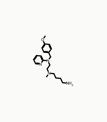 COc1ccc(CN(CCN(C)CCCCN)c2ccccn2)cc1